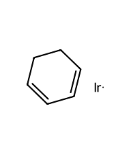 C1=CCCC=C1.[Ir]